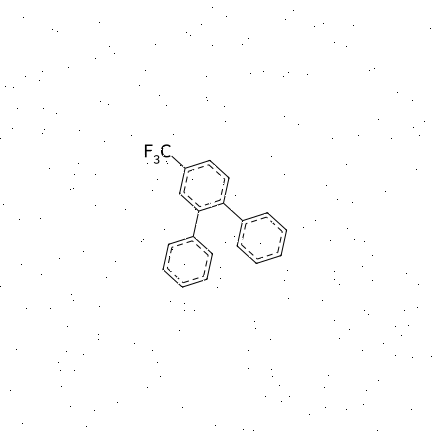 FC(F)(F)c1ccc(-c2ccccc2)c(-c2ccccc2)c1